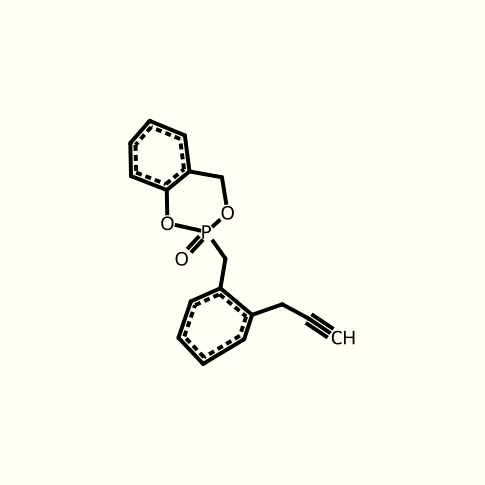 C#CCc1ccccc1CP1(=O)OCc2ccccc2O1